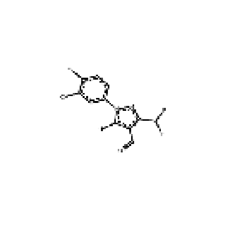 O=Cc1c(C(F)F)nn(-c2ccc(Cl)c(Cl)c2)c1Cl